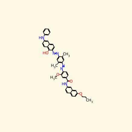 CCCOc1ccc2ccc(NC(=O)c3ccc(N=Nc4cc(C)c(N=Nc5ccc6cc(Nc7ccccc7)ccc6c5O)cc4C)c(OC)c3)cc2c1